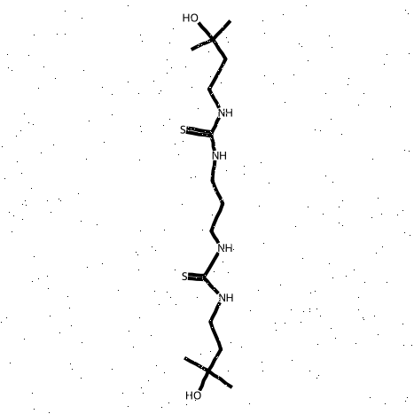 CC(C)(O)CCNC(=S)NCCCNC(=S)NCCC(C)(C)O